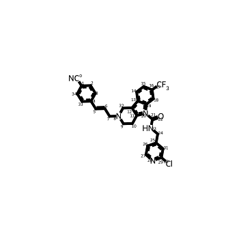 N#Cc1ccc(/C=C/CN2CCc3c(c4ccc(C(F)(F)F)cc4n3C(=O)NCc3ccnc(Cl)c3)C2)cc1